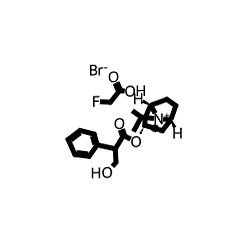 CC(C)[N+]1(C)[C@@H]2CC[C@H]1C[C@@H](OC(=O)C(CO)c1ccccc1)C2.O=C(O)CF.[Br-]